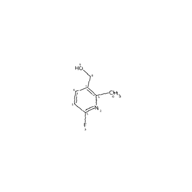 Cc1nc(F)ccc1CO